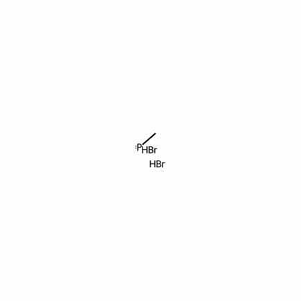 Br.Br.C[P]